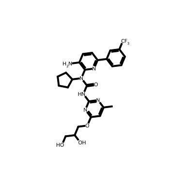 Cc1cc(OCC(O)CO)nc(NC(=O)N(c2nc(-c3cccc(C(F)(F)F)c3)ccc2N)C2CCCC2)n1